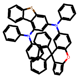 C1=CC2=C(CC1)c1ccccc1C21c2ccccc2Oc2ccc(N(c3ccccc3)c3cc(N(c4ccccc4)c4ccccc4)c4c(c3)sc3ccccc34)cc21